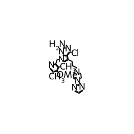 COc1c(C)cnc(Cn2cc(CCCN3CCN(c4ncccn4)CC3)c3c(Cl)nc(N)nc32)c1C